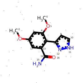 COc1cc(OC)c(-c2cc[nH]n2)c(C(N)=O)c1